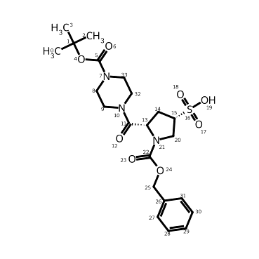 CC(C)(C)OC(=O)N1CCN(C(=O)[C@@H]2C[C@H](S(=O)(=O)O)CN2C(=O)OCc2ccccc2)CC1